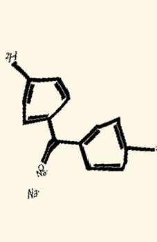 [2H]c1ccc(C(=O)c2ccc([2H])cc2)cc1.[Na].[Na]